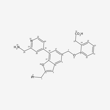 CC(C)Cc1cc2cc(COc3ccccc3CC(=O)O)cc(-c3ccnc(CN)c3)c2o1